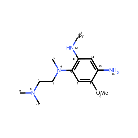 COc1cc(N(C)CCN(C)C)c(NC(C)C)cc1N